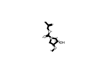 C=C(C)COC(=O)N1CC(OC)[C@@H](O)C1